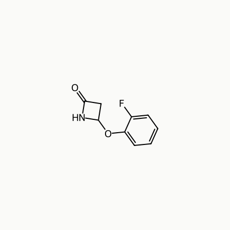 O=C1CC(Oc2ccccc2F)N1